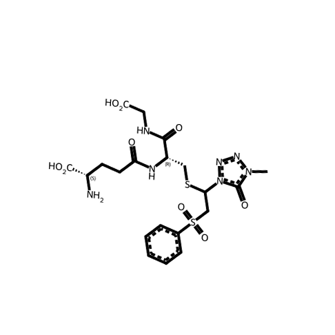 Cn1nnn(C(CS(=O)(=O)c2ccccc2)SC[C@H](NC(=O)CC[C@H](N)C(=O)O)C(=O)NCC(=O)O)c1=O